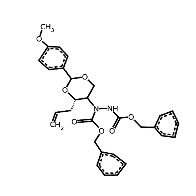 C=CC[C@@H]1OC(c2ccc(OC)cc2)OCC1N(NC(=O)OCc1ccccc1)C(=O)OCc1ccccc1